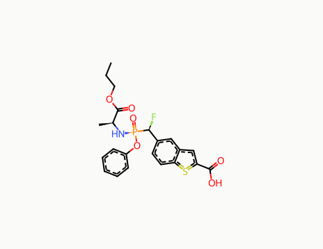 CCCOC(=O)[C@H](C)N[P@](=O)(Oc1ccccc1)[C@@H](F)c1ccc2sc(C(=O)O)cc2c1